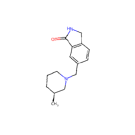 C[C@H]1CCCN(Cc2ccc3c(c2)C(=O)NC3)C1